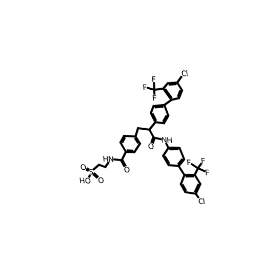 O=C(NCCS(=O)(=O)O)c1ccc(CC(C(=O)Nc2ccc(-c3ccc(Cl)cc3C(F)(F)F)cc2)c2ccc(-c3ccc(Cl)cc3C(F)(F)F)cc2)cc1